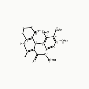 CCCCCOC(=O)C1=C(C)NC2=C(C(=O)CCC2)C1c1ccc(OC)c(OC)c1OC